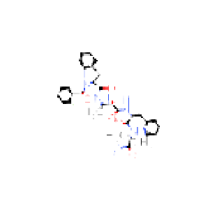 CC(NC(=O)C(Cc1ccccc1)NC(=O)c1ccccc1F)C(=O)C(=O)NC(Cc1ccccc1)C(=O)NC(C)(C)C(N)=O